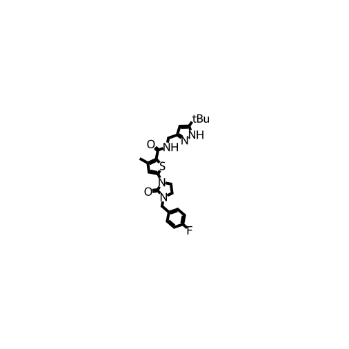 Cc1cc(N2CCN(Cc3ccc(F)cc3)C2=O)sc1C(=O)NCc1cc(C(C)(C)C)[nH]n1